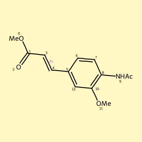 COC(=O)/C=C/c1ccc(NC(C)=O)c(OC)c1